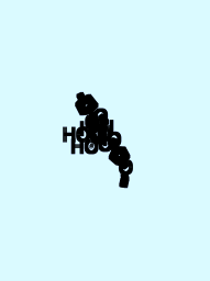 C=CCOc1ccc(C(=O)O[C@@H]2O[C@@H]3CO[C@@H](c4ccc(C)cc4)O[C@H]3[C@H](O)[C@H]2O)cc1